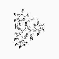 N#CC(=C1C(=C(/C#N)c2c(F)c(F)c(F)c(F)c2F)/C1=C(/C#N)c1c(F)c(F)c(F)c(F)c1F)c1c(F)c(F)c(C(F)(F)F)c(F)c1F